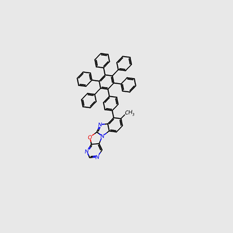 Cc1ccc2c(nc3oc4ncncc4n32)c1-c1ccc(-c2c(-c3ccccc3)c(-c3ccccc3)c(-c3ccccc3)c(-c3ccccc3)c2-c2ccccc2)cc1